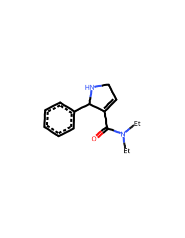 CCN(CC)C(=O)C1=CCNC1c1ccccc1